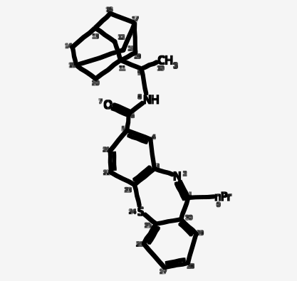 CCCC1=Nc2cc(C(=O)NC(C)C34CC5CC(CC(C5)C3)C4)ccc2Sc2ccccc21